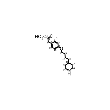 C[C@H](Cc1ccc(OCCCCC2CCNCC2)cc1)C(=O)O